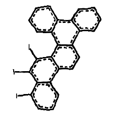 Ic1cccc2c1c(I)c(I)c1c2ccc2c3ccccc3c3ccccc3c21